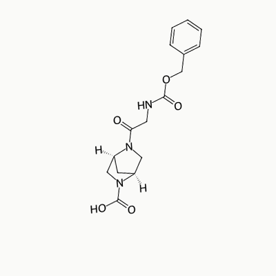 O=C(NCC(=O)N1C[C@@H]2C[C@H]1CN2C(=O)O)OCc1ccccc1